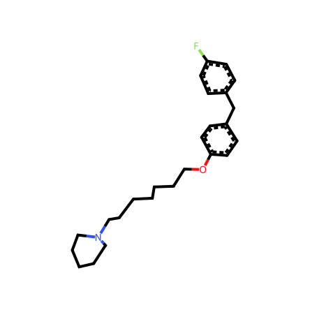 Fc1ccc(Cc2ccc(OCCCCCCCN3CCCCC3)cc2)cc1